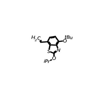 C=Cc1ccc(OC(C)(C)C)c2nc(OC(C)C)sc12